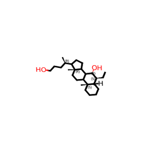 CC[C@@H]1[C@@H](O)C2C3CCC([C@H](C)CCCO)[C@@]3(C)CCC2[C@@]2(C)CCCC[C@@H]12